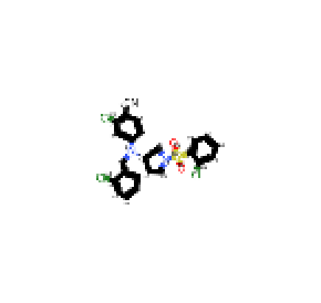 N#Cc1ccc(N(Cc2ccccc2Cl)[C@H]2CCN(S(=O)(=O)c3ccccc3Cl)C2)cc1Cl